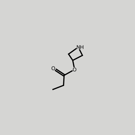 CCC(=O)OC1CNC1